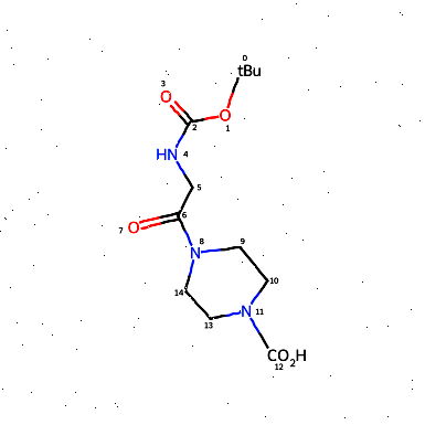 CC(C)(C)OC(=O)NCC(=O)N1CCN(C(=O)O)CC1